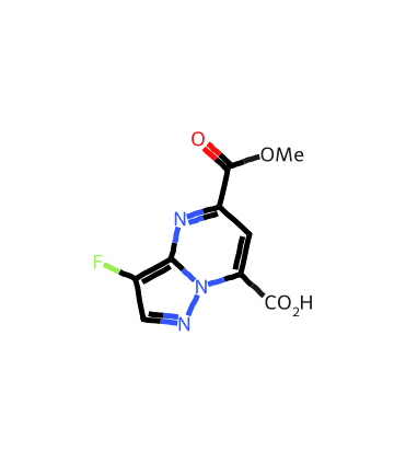 COC(=O)c1cc(C(=O)O)n2ncc(F)c2n1